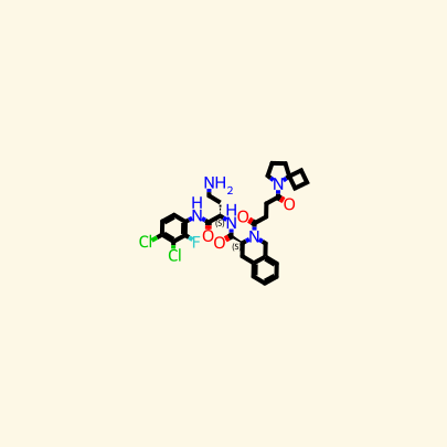 NCC[C@H](NC(=O)[C@@H]1Cc2ccccc2CN1C(=O)CCC(=O)N1CCCC12CCC2)C(=O)Nc1ccc(Cl)c(Cl)c1F